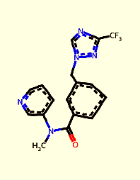 CN(C(=O)c1cccc(Cn2cnc(C(F)(F)F)n2)c1)c1cccnc1